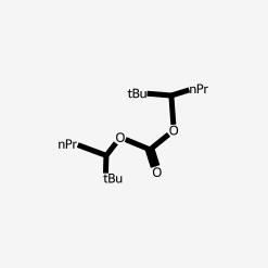 CCCC(OC(=O)OC(CCC)C(C)(C)C)C(C)(C)C